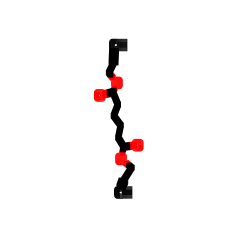 C#CCOC(=O)CCCCC(=O)OCC#C